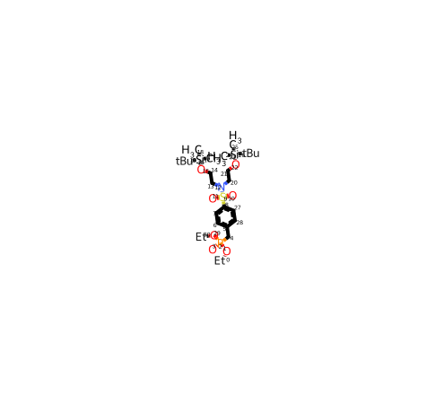 CCOP(=O)(Cc1ccc(S(=O)(=O)N(CCO[Si](C)(C)C(C)(C)C)CCO[Si](C)(C)C(C)(C)C)cc1)OCC